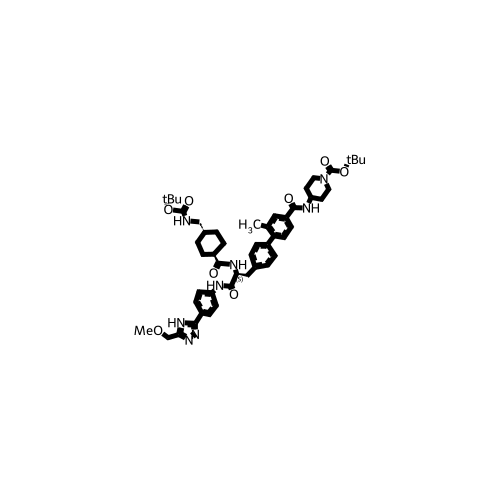 COCc1nnc(-c2ccc(NC(=O)[C@H](Cc3ccc(-c4ccc(C(=O)NC5CCN(C(=O)OC(C)(C)C)CC5)cc4C)cc3)NC(=O)[C@H]3CC[C@H](CNC(=O)OC(C)(C)C)CC3)cc2)[nH]1